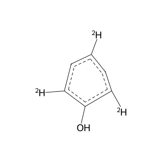 [2H]c1cc([2H])c(O)c([2H])c1